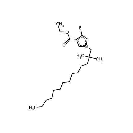 CCCCCCCCCCCCC(C)(C)Cn1cc(F)c(C(=O)OCC)c1